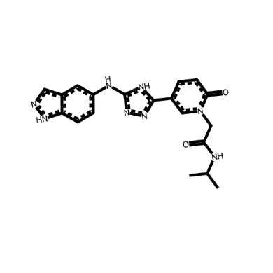 CC(C)NC(=O)Cn1cc(-c2nnc(Nc3ccc4[nH]ncc4c3)[nH]2)ccc1=O